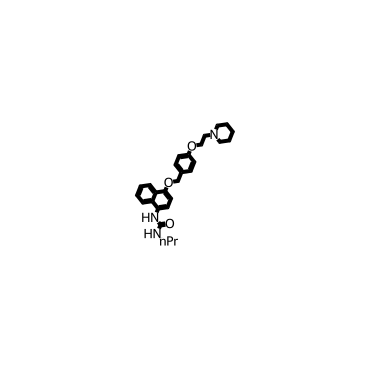 CCCNC(=O)Nc1ccc(OCc2ccc(OCCN3CCCCC3)cc2)c2ccccc12